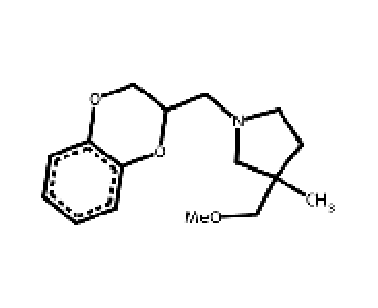 COCC1(C)CCN(CC2COc3ccccc3O2)C1